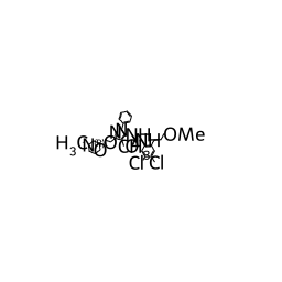 COCCCc1cc(Cl)c(Cl)cc1NC(=O)Nc1c(C)c(OC[C@H]2CN(C)CCO2)nn1-c1ccccc1